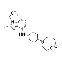 FC(F)(F)Cn1c(I)cc2c(NC3CCC(N4CCCOCCC4)CC3)cccc21